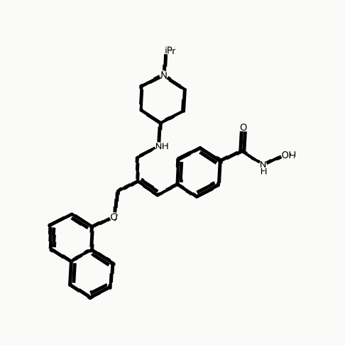 CC(C)N1CCC(NCC(=Cc2ccc(C(=O)NO)cc2)COc2cccc3ccccc23)CC1